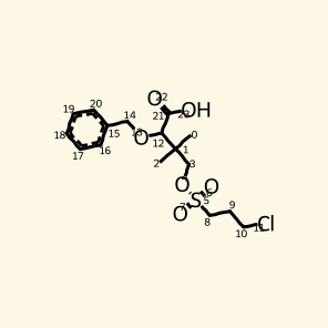 CC(C)(COS(=O)(=O)CCCCl)C(OCc1ccccc1)C(=O)O